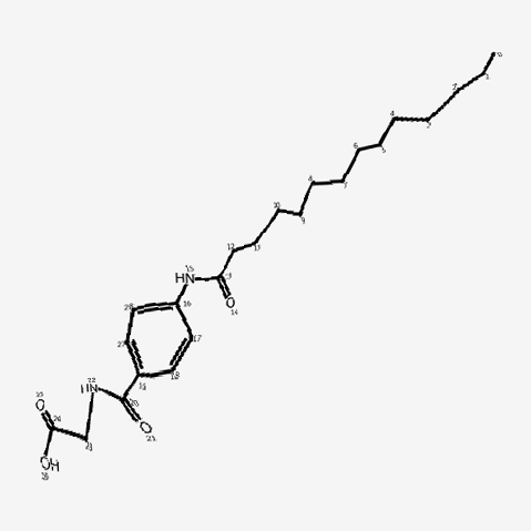 CCCCCCCCCCCCCC(=O)Nc1ccc(C(=O)NCC(=O)O)cc1